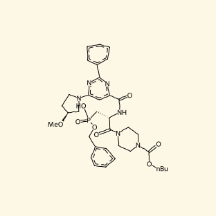 CCCCOC(=O)N1CCN(C(=O)[C@H](CP(=O)(O)OCc2ccccc2)NC(=O)c2cc(N3CC[C@H](OC)C3)nc(-c3ccccc3)n2)CC1